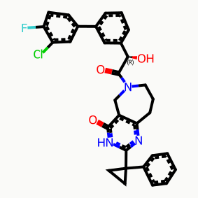 O=C([C@H](O)c1cccc(-c2ccc(F)c(Cl)c2)c1)N1CCCc2nc(C3(c4ccccc4)CC3)[nH]c(=O)c2C1